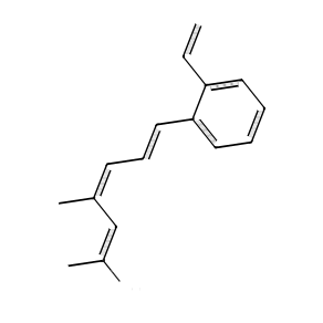 C=Cc1ccccc1C=CC=C(C)C=C(C)C(=O)O